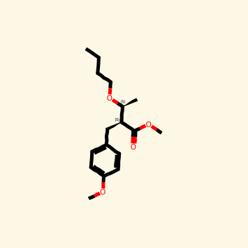 CCCCO[C@@H](C)[C@H](Cc1ccc(OC)cc1)C(=O)OC